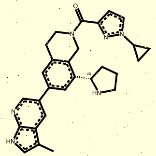 Cc1c[nH]c2ncc(-c3cc4c(c([C@@H]5CCCN5)c3)CN(C(=O)c3ccn(C5CC5)n3)CC4)cc12